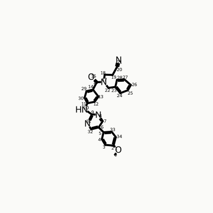 COc1ccc(-c2cnc(Nc3ccc(C(=O)N(CCC#N)Cc4ccccc4)cc3)nc2)cc1